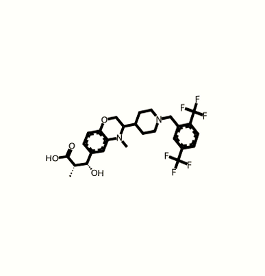 C[C@H](C(=O)O)[C@@H](O)c1ccc2c(c1)N(C)C(C1CCN(Cc3cc(C(F)(F)F)ccc3C(F)(F)F)CC1)CO2